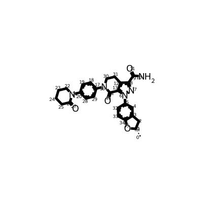 C[C@H]1Cc2cc(-n3nc(C(N)=O)c4c3C(=O)N(c3ccc(N5CCCCC5=O)cc3)CC4)ccc2O1